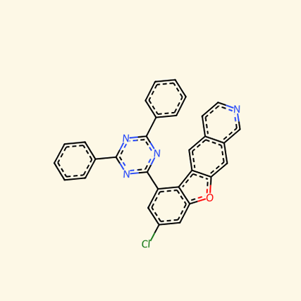 Clc1cc(-c2nc(-c3ccccc3)nc(-c3ccccc3)n2)c2c(c1)oc1cc3cnccc3cc12